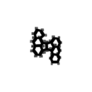 c1ccc2c(c1)cc1cccc3c4c5c6ccccc6cc6cccc(c=4c2c13)c65